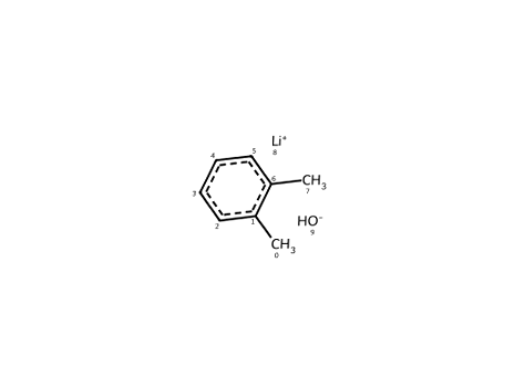 Cc1ccccc1C.[Li+].[OH-]